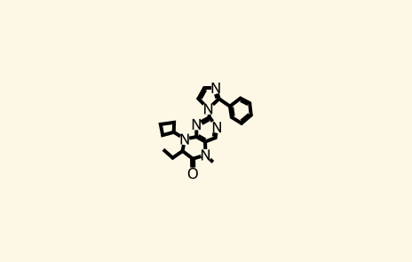 CCC1C(=O)N(C)c2cnc(-n3ccnc3-c3ccccc3)nc2N1C1CCC1